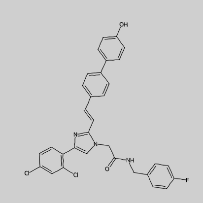 O=C(Cn1cc(-c2ccc(Cl)cc2Cl)nc1C=Cc1ccc(-c2ccc(O)cc2)cc1)NCc1ccc(F)cc1